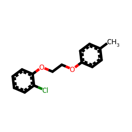 Cc1ccc(OCCOc2ccccc2Cl)cc1